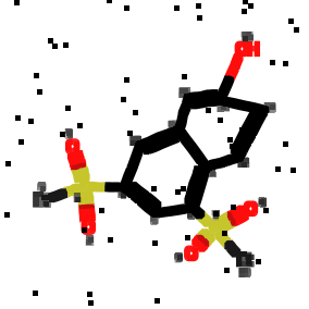 CCS(=O)(=O)c1cc(S(=O)(=O)CC)c2ccc(O)cc2c1